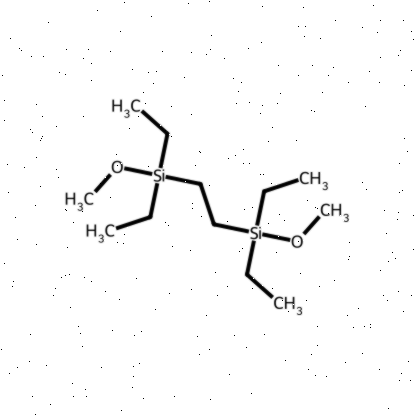 CC[Si](CC)(CC[Si](CC)(CC)OC)OC